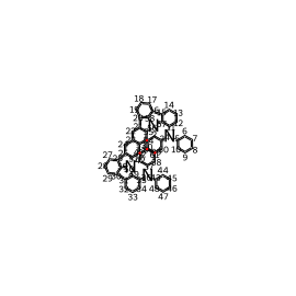 c1ccc(N(c2ccccc2)c2cccc3c4cccc5c6cc7cc8c9cccc%10c%11cccc(N(c%12ccccc%12)c%12ccccc%12)c%11n(c8cc7cc6n(c23)c54)c9%10)cc1